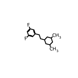 CC1CC(C)CC(CCc2cc(F)cc(F)c2)C1